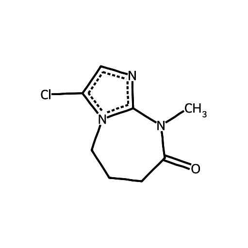 CN1C(=O)CCCn2c(Cl)cnc21